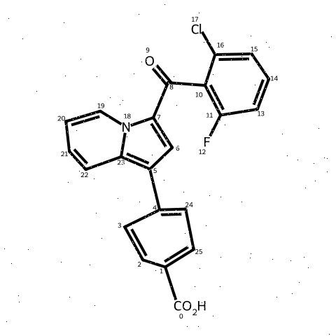 O=C(O)c1ccc(-c2cc(C(=O)c3c(F)cccc3Cl)n3ccccc23)cc1